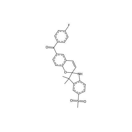 CC1(C)c2cc(S(C)(=O)=O)ccc2NC12C=Cc1cc(C(=O)c3ccc(F)cc3)ccc1O2